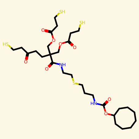 O=C(CCS)CCC(COC(=O)CCS)(COC(=O)CCS)C(=O)NCCSCCCNC(=O)OC1CCCCCCC1